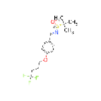 CC(C)(C)[S@+]([O-])N=Cc1ccc(OCCCC(F)(F)F)cc1